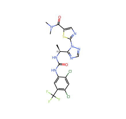 C[C@H](NC(=O)Nc1cc(C(F)(F)F)c(Cl)cc1Cl)c1ncnn1-c1ncc(C(=O)N(C)C)s1